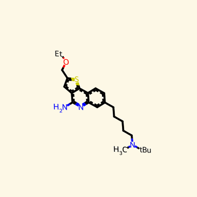 CCOCc1cc2c(N)nc3cc(CCCCCN(C)C(C)(C)C)ccc3c2s1